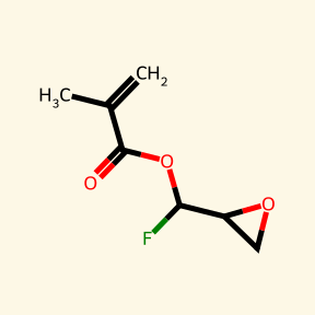 C=C(C)C(=O)OC(F)C1CO1